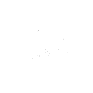 CC1=CC(c2cnc3c(NCC(C)(C)O)cc(OCc4ccccc4)nn23)CC=C1C(N)=O